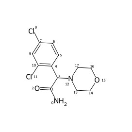 NC(=O)C(c1ccc(Cl)cc1Cl)N1CCOCC1